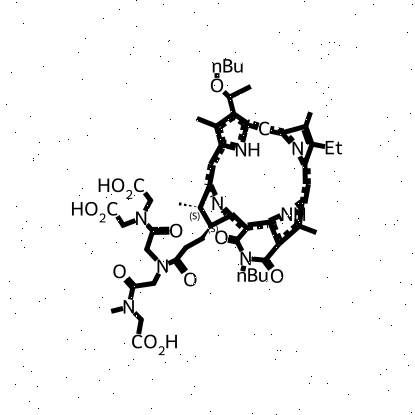 CCCCOC(C)c1c(C)c2cc3nc(c4c5[nH]c(cc6nc(cc1[nH]2)C(C)=C6CC)c(C)c5C(=O)N(CCCC)C4=O)[C@@H](CCC(=O)N(CC(=O)N(C)CC(=O)O)CC(=O)N(CC(=O)O)CC(=O)O)[C@@H]3C